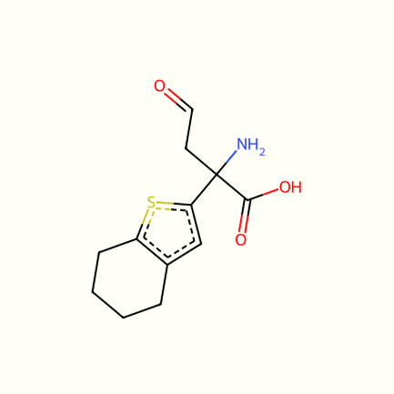 NC(CC=O)(C(=O)O)c1cc2c(s1)CCCC2